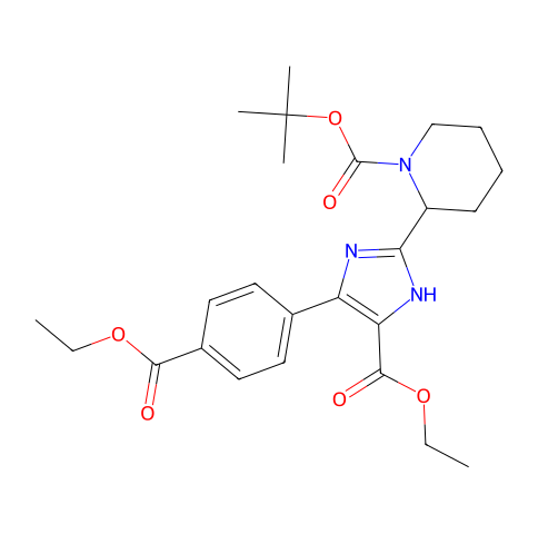 CCOC(=O)c1ccc(-c2nc(C3CCCCN3C(=O)OC(C)(C)C)[nH]c2C(=O)OCC)cc1